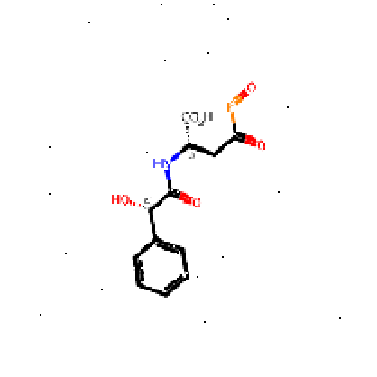 O=PC(=O)C[C@H](NC(=O)[C@@H](O)c1ccccc1)C(=O)O